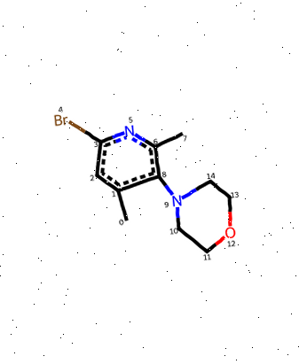 Cc1cc(Br)nc(C)c1N1CCOCC1